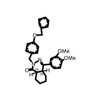 COc1ccc(C2=NN(Cc3ccc(OCc4ccccc4)cc3)C(=O)[C@H]3CCCC[C@@H]23)cc1OC